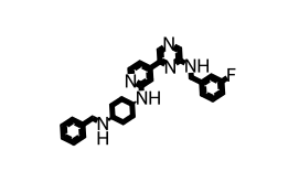 Fc1cccc(CNc2cncc(-c3ccnc(N[C@H]4CC[C@H](NCc5ccccc5)CC4)c3)n2)c1